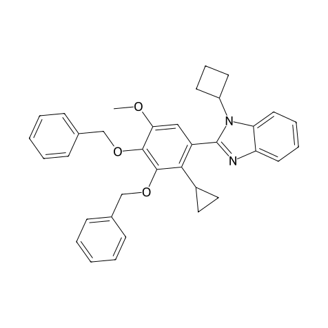 COc1cc(-c2nc3ccccc3n2C2CCC2)c(C2CC2)c(OCc2ccccc2)c1OCc1ccccc1